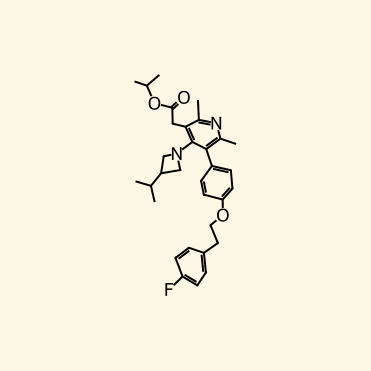 Cc1nc(C)c(-c2ccc(OCCc3ccc(F)cc3)cc2)c(N2CC(C(C)C)C2)c1CC(=O)OC(C)C